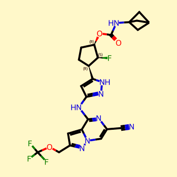 N#Cc1cn2nc(COC(F)(F)F)cc2c(Nc2cc([C@H]3CC[C@@H](OC(=O)NC45CC(C4)C5)[C@H]3F)[nH]n2)n1